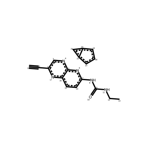 C#Cc1cnc2nc(NC(=O)NCC)ccc2n1.c1cc2cc-2c1